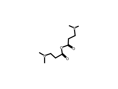 CN(C)CCC(=O)OC(=O)CCN(C)C